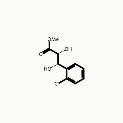 COC(=O)[C@H](O)[C@@H](O)c1ccccc1Cl